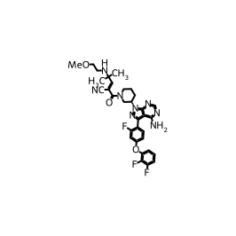 COCCNC(C)(C)C=C(C#N)C(=O)N1CCC[C@@H](n2nc(-c3ccc(Oc4cccc(F)c4F)cc3F)c3c(N)ncnc32)C1